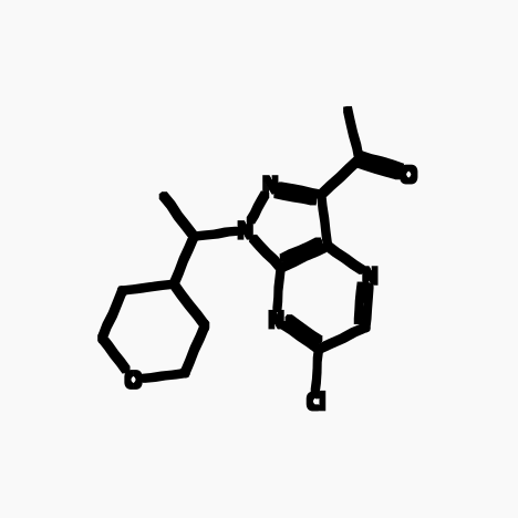 CC(=O)c1nn(C(C)C2CCOCC2)c2nc(Cl)cnc12